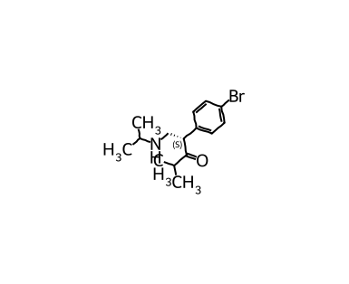 CC(C)NC[C@@H](C(=O)C(C)C)c1ccc(Br)cc1